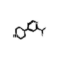 FC(F)c1cc(C2CCNCC2)ccn1